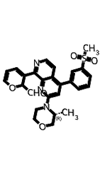 C[C@@H]1COCCN1c1cc(-c2cccc(S(C)(=O)=O)c2)c2ccnc(C3=CC=COC3C=O)c2n1